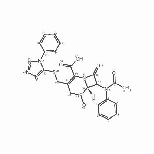 CC(=O)N(c1ccccc1)C1C(=O)N2C(C(=O)O)=C(CSc3nnnn3-c3ccccc3)C[S+]([O-])[C@@H]12